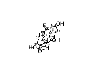 C[C@]12CCC(O)CC1=C(F)C[C@@H]1[C@H]2C(O)C[C@@]2(C)[C@H]1CCC2(O)C(=O)O